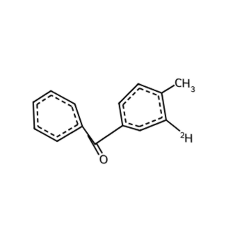 [2H]c1cc(C(=O)c2ccccc2)ccc1C